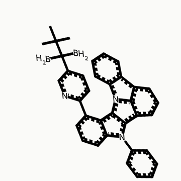 BC(B)(c1ccc(-c2cccc3c2c2c(c4cccc5c6ccccc6n2c54)n3-c2ccccc2)nc1)C(C)(C)C